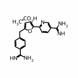 CC(=O)O.N=C(N)c1ccc(Cc2ccc(-c3ccc(C(=N)N)cn3)o2)cc1